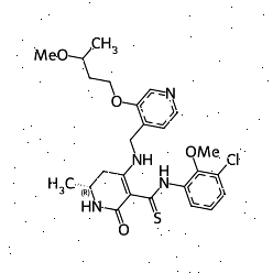 COc1c(Cl)cccc1NC(=S)C1=C(NCc2ccncc2OCCC(C)OC)C[C@@H](C)NC1=O